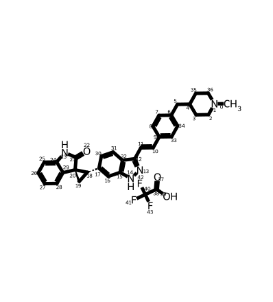 CN1CCC(Cc2ccc(/C=C/c3n[nH]c4cc([C@@H]5C[C@@]56C(=O)Nc5ccccc56)ccc34)cc2)CC1.O=C(O)C(F)(F)F